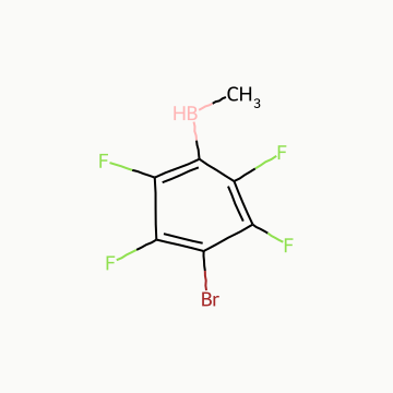 CBc1c(F)c(F)c(Br)c(F)c1F